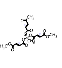 COC(=O)/C=C/C(=O)O[Si](C)(OC(=O)/C=C/C(C)=O)OC(=O)/C=C/C(=O)OC